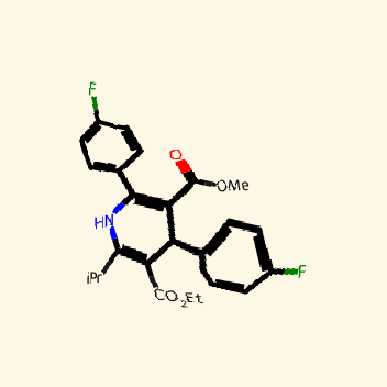 CCOC(=O)C1=C(C(C)C)NC(c2ccc(F)cc2)=C(C(=O)OC)C1c1ccc(F)cc1